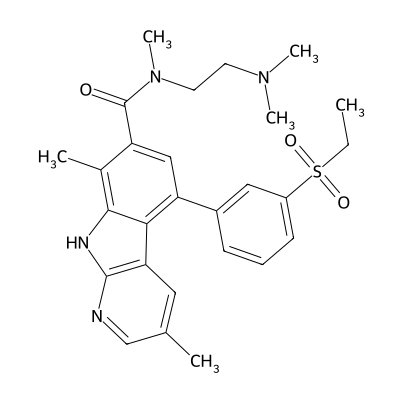 CCS(=O)(=O)c1cccc(-c2cc(C(=O)N(C)CCN(C)C)c(C)c3[nH]c4ncc(C)cc4c23)c1